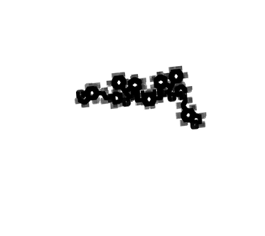 O=C(NCc1ccc(CNC(=O)C(c2ccccc2)(c2ccccc2)[C@@H]2CCN(CCc3ccc4c(c3)CCO4)C2)cc1)C(c1ccccc1)(c1ccccc1)[C@@H]1CCN(CCc2ccc3c(c2)CCO3)C1